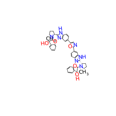 C[C@@](O)(C(=O)N1CCC[C@H]1c1nc2cc(-c3cnc(-c4ccc5nc([C@@H]6CCCN6C(=O)[C@@](C)(O)c6ccccc6)[nH]c5c4)o3)ccc2[nH]1)c1ccccc1